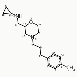 Cc1ccc(CCCN2CCOC(CNC3CC3)C2)cc1